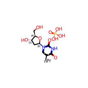 CCCc1cn([C@H]2C[C@H](O)[C@@H](CO)O2)c(=O)[nH]c1=O.O=P(O)(O)O